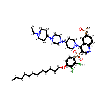 CCCCCCCCCCCCOc1ccc(S(=O)(=O)c2cnc3ccc([S+](C)[O-])cc3c2N2CCC(N3CCN(C4CCN(CC)CC4)CC3)CC2)c(F)c1F